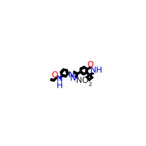 C=CC(=O)Nc1cccc(-n2cc(-c3ccc4c(c3)C3(CCC3)CNC4=O)c([N+](=O)[O-])n2)c1